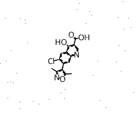 Cc1noc(C)c1-c1cc2ncc(C(=O)O)c(O)c2cc1Cl